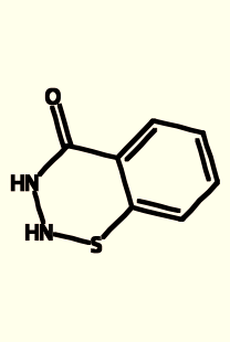 O=C1NNSc2ccccc21